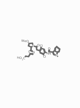 CO[C@H]1CC(c2ncc(CCC(=O)O)s2)N(C(=O)Cc2cc(Cl)c(NC(=O)c3cn(C)c4ccccc34)cc2Cl)C1